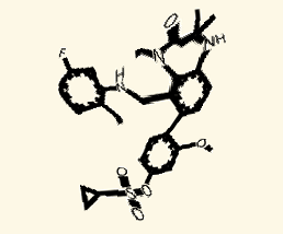 COc1cc(OS(=O)(=O)C2CC2)ccc1-c1ccc2c(c1CNc1cc(F)ccc1C)N(C)C(=O)C(C)(C)N2